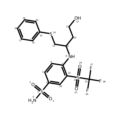 NS(=O)(=O)c1ccc(NC(CCO)CSc2ccccc2)c(S(=O)(=O)C(F)(F)F)c1